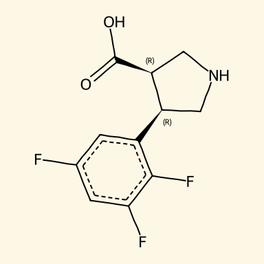 O=C(O)[C@H]1CNC[C@H]1c1cc(F)cc(F)c1F